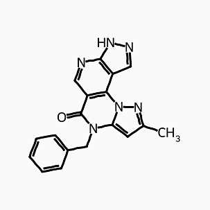 Cc1cc2n(Cc3ccccc3)c(=O)c3cnc4[nH]ncc4c3n2n1